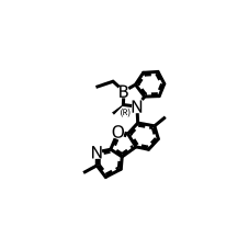 CCB1c2ccccc2N(c2c(C)ccc3c2oc2nc(C)ccc23)[C@H]1C